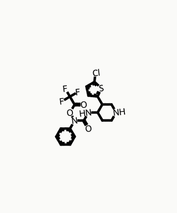 O=C(NC1CCNCC1c1ccc(Cl)s1)N(OC(=O)C(F)(F)F)c1ccccc1